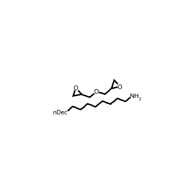 C(OCC1CO1)C1CO1.CCCCCCCCCCCCCCCCCCN